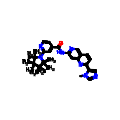 BC1(B)N(c2cc(C(=O)Nc3cc4nc(-c5cncn5C)ccc4cn3)ccn2)C(B)(B)C(B)(B)C1(B)B